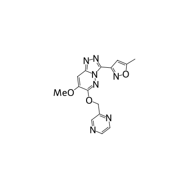 COc1cc2nnc(-c3cc(C)on3)n2nc1OCc1cnccn1